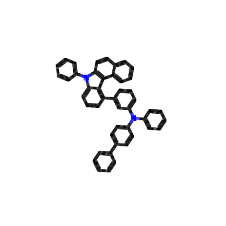 c1ccc(-c2ccc(N(c3ccccc3)c3cccc(-c4cccc5c4c4c6ccccc6ccc4n5-c4ccccc4)c3)cc2)cc1